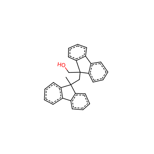 CC1(CC2(CO)c3ccccc3-c3ccccc32)c2ccccc2-c2ccccc21